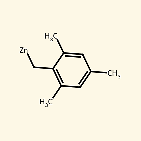 Cc1cc(C)c([CH2][Zn])c(C)c1